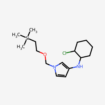 C[Si](C)(C)CCOCn1ccc(NC2CCCCC2Cl)c1